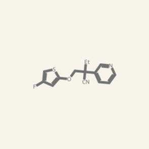 CCC(C#N)(COc1cc(F)cs1)c1cccnc1